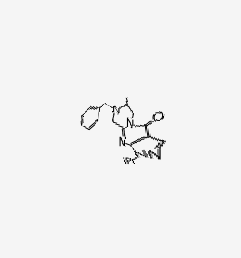 CC1Cn2c(nc3c(cnn3C(C)C)c2=O)CN1Cc1ccccc1